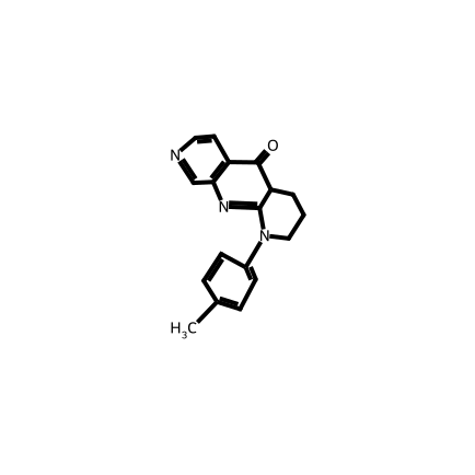 Cc1ccc(N2CCCC3C(=O)c4ccncc4N=C32)cc1